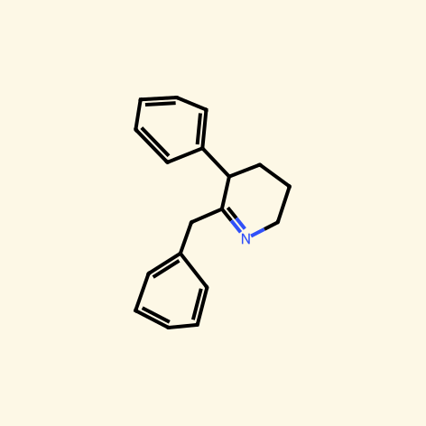 c1ccc(CC2=NCCCC2c2ccccc2)cc1